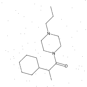 CCCN1CCN(C(=O)C(C)C2CCCCC2)CC1